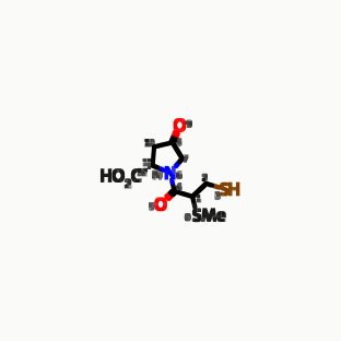 CSC(CS)C(=O)N1CC(=O)C[C@H]1C(=O)O